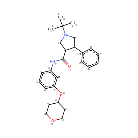 CC(C)(C)N1CC(C(=O)Nc2cccc(OC3CCOCC3)c2)C(c2ccccc2)C1